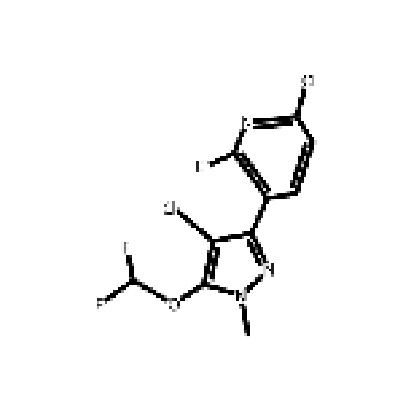 Cn1nc(-c2ccc(Cl)nc2Cl)c(Cl)c1OC(F)F